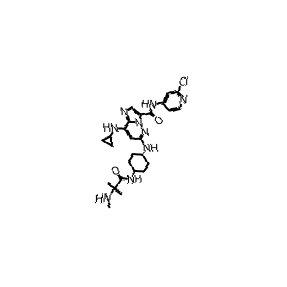 CNC(C)(C)C(=O)N[C@H]1CC[C@H](Nc2cc(NC3CC3)c3ncc(C(=O)Nc4ccnc(Cl)c4)n3n2)CC1